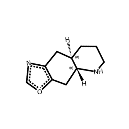 c1nc2c(o1)C[C@H]1NCCC[C@@H]1C2